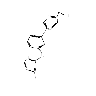 OCc1ccc(-c2cccc(Nc3nccc(C(F)(F)F)n3)c2)cn1